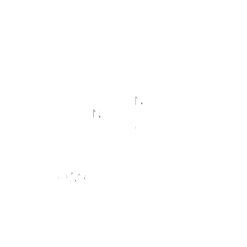 COc1cccc(Cn2c3c(c4ccccc42)CCN(Cc2ccccc2)C3=S)c1